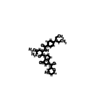 CCN(CC)c1ccc(C(=O)NC(CC(C)C)C(=O)N2CCC3C2C(=O)CN3C(=O)C2CNCCO2)cc1